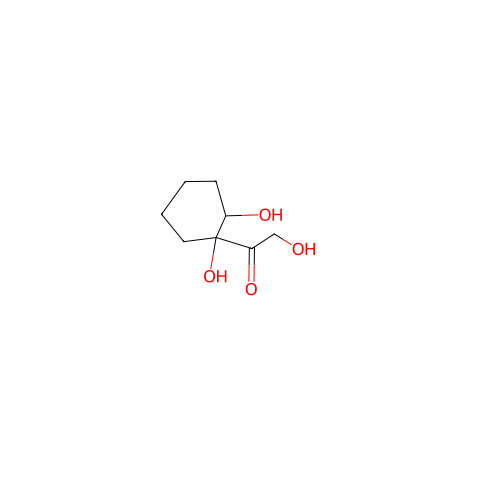 O=C(CO)C1(O)CCCCC1O